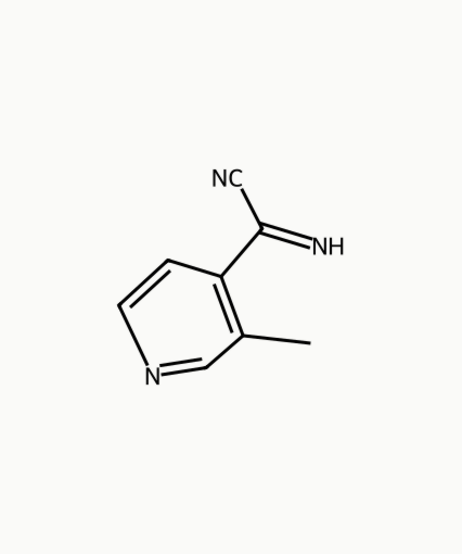 Cc1cnccc1C(=N)C#N